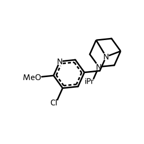 COc1ncc(CN2C3CC2CN(C(C)C)C3)cc1Cl